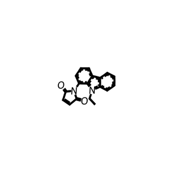 CCn1c2ccccc2c2cccc(N3C(=O)C=CC3=O)c21